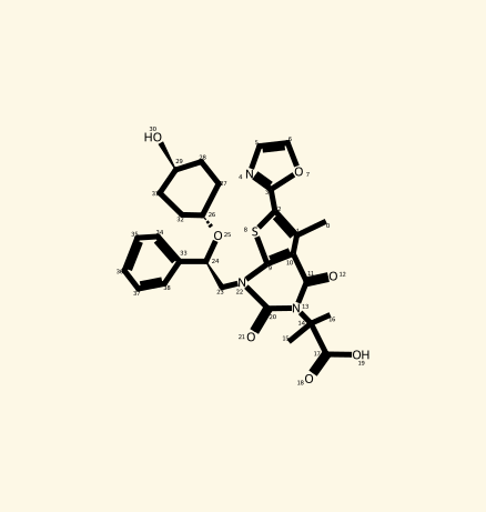 Cc1c(-c2ncco2)sc2c1c(=O)n(C(C)(C)C(=O)O)c(=O)n2C[C@H](O[C@H]1CC[C@H](O)CC1)c1ccccc1